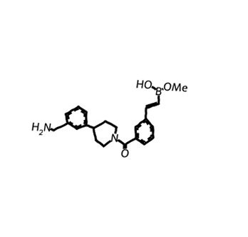 COB(O)/C=C/c1cccc(C(=O)N2CCC(c3cccc(CN)c3)CC2)c1